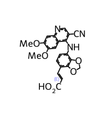 COc1cc2ncc(C#N)c(Nc3ccc(/C=C/C(=O)O)c4c3OCO4)c2cc1OC